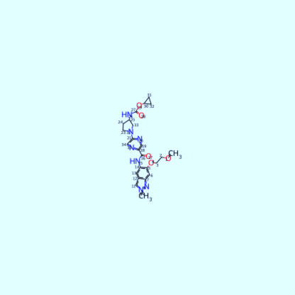 COCCOc1cc2nn(C)cc2cc1NC(=O)c1cnc(N2CCC(NC(=O)OC3CC3)C2)cn1